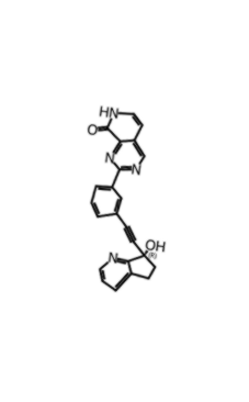 O=c1[nH]ccc2cnc(-c3cccc(C#C[C@]4(O)CCc5cccnc54)c3)nc12